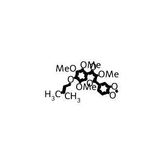 COc1c(OCC=C(C)C)c(OC)c2oc(-c3ccc4c(c3)OCO4)c(OC)c(=O)c2c1OC